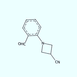 N#CC1CN(c2ccccc2C=O)C1